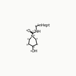 CCCCCCCCNC(=O)N1CCC(O)CC1